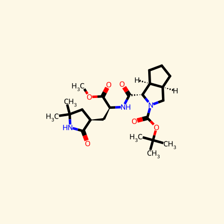 COC(=O)[C@H](C[C@@H]1CC(C)(C)NC1=O)NC(=O)[C@@H]1[C@H]2CCC[C@H]2CN1C(=O)OC(C)(C)C